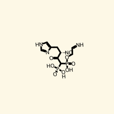 N=CCOP(=O)(O)C(C(=O)[C@H](Cc1c[nH]cn1)N=O)P(=O)(O)O